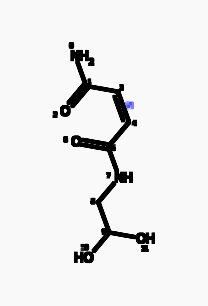 NC(=O)/C=C\C(=O)NCC(O)O